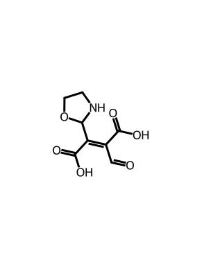 O=C/C(C(=O)O)=C(\C(=O)O)C1NCCO1